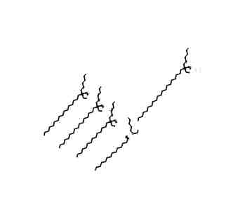 CCCCCCCCCCCCCC(=O)OC(CC)CCCCC.CCCCCCCCCCCCCCC(CC)(CCCCCC)C(=O)O.CCCCCCCCCCCCCCCCC(CC)(CCCCCC)C(=O)O.CCCCCCCCCCCCCCCCC(CC)(CCCCCC)C(=O)O.CCCCCCCCCCCCCCCCCCCCC(CC)(CCCCCC)C(=O)O